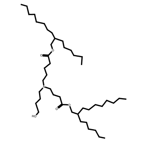 CCCCCCCCC(CCCCCC)COC(=O)CCCCN(CCCCO)CCCC(=O)OCC(CCCCCC)CCCCCCCC